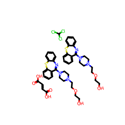 ClC(Cl)Cl.O=C(O)/C=C/C(=O)O.OCCOCCN1CCN(C2=Nc3ccccc3Sc3ccccc32)CC1.OCCOCCN1CCN(C2=Nc3ccccc3Sc3ccccc32)CC1